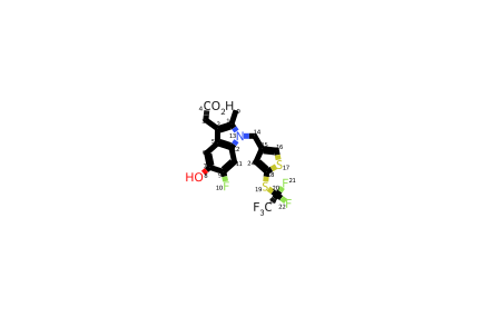 Cc1c(CC(=O)O)c2cc(O)c(F)cc2n1Cc1csc(SC(F)(F)C(F)(F)F)c1